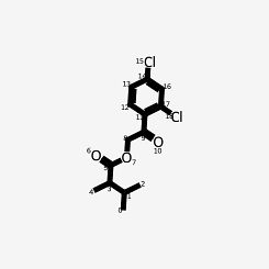 CC(C)C(C)C(=O)OCC(=O)c1ccc(Cl)cc1Cl